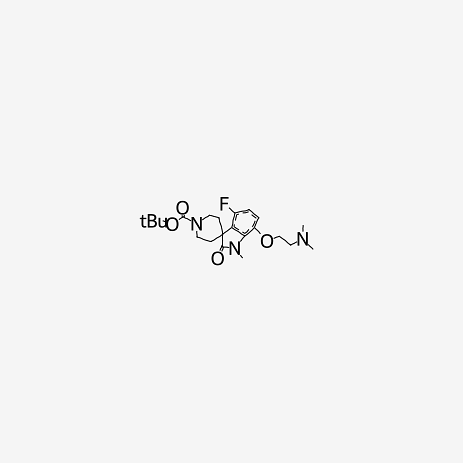 CN(C)CCOc1ccc(F)c2c1N(C)C(=O)C21CCN(C(=O)OC(C)(C)C)CC1